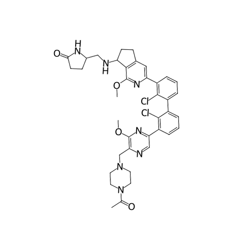 COc1nc(-c2cccc(-c3cccc(-c4cc5c(c(OC)n4)C(NCC4CCC(=O)N4)CC5)c3Cl)c2Cl)cnc1CN1CCN(C(C)=O)CC1